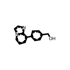 OCc1ccc(-c2cccn3ccnc23)cc1